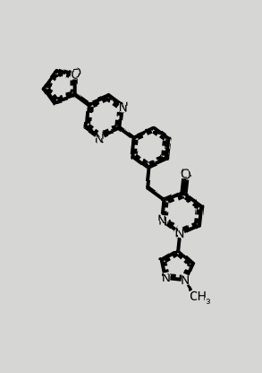 Cn1cc(-n2ccc(=O)c(Cc3cccc(-c4ncc(-c5ccco5)cn4)c3)n2)cn1